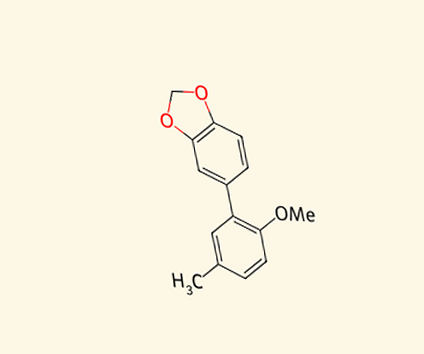 COc1ccc(C)cc1-c1ccc2c(c1)OCO2